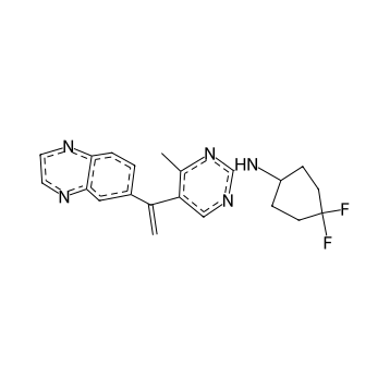 C=C(c1ccc2nccnc2c1)c1cnc(NC2CCC(F)(F)CC2)nc1C